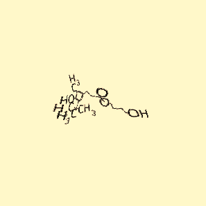 Cc1cc(CCC(=O)OCCCCO)cc(C(C)(C)C)c1O